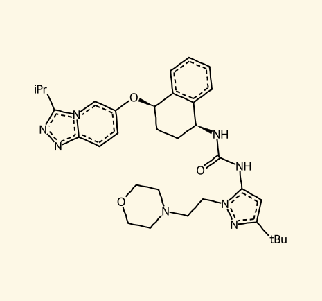 CC(C)c1nnc2ccc(O[C@@H]3CC[C@H](NC(=O)Nc4cc(C(C)(C)C)nn4CCN4CCOCC4)c4ccccc43)cn12